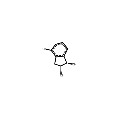 O[C@@H]1c2cccc(Cl)c2C[C@@H]1O